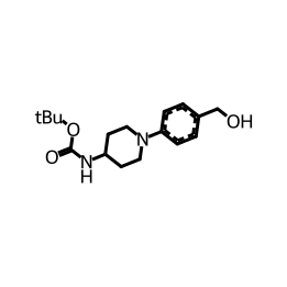 CC(C)(C)OC(=O)NC1CCN(c2ccc(CO)cc2)CC1